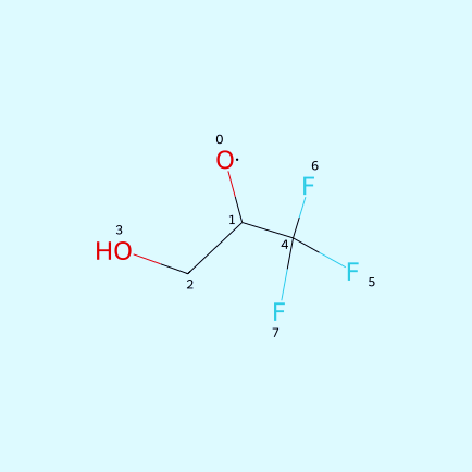 [O]C(CO)C(F)(F)F